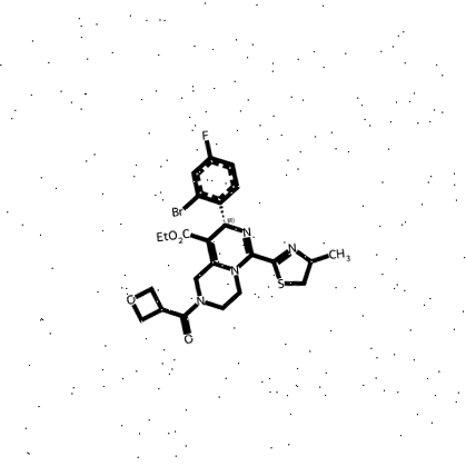 CCOC(=O)C1=C2CN(C(=O)C3COC3)CCN2C(C2=NC(C)CS2)=N[C@H]1c1ccc(F)cc1Br